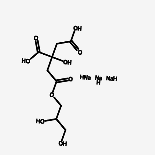 O=C(O)CC(O)(CC(=O)OCC(O)CO)C(=O)O.[NaH].[NaH].[NaH]